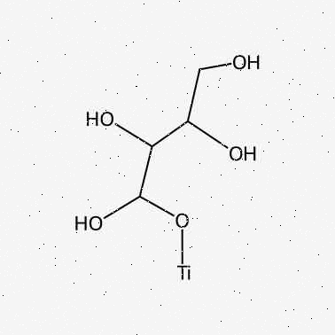 OCC(O)C(O)C(O)[O][Ti]